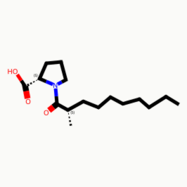 CCCCCCCC[C@H](C)C(=O)N1CCC[C@H]1C(=O)O